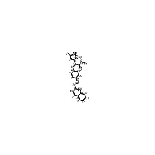 Cc1cc(C(=Cc2ccc(OCc3ccc4ccccc4n3)cc2)C(=O)N(C)C)on1